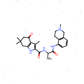 CCCCC(NC(=O)c1[nH]c2c(c1C)C(=O)CC(C)(C)C2)C(=O)Nc1cccc2c1CCN(C)C2